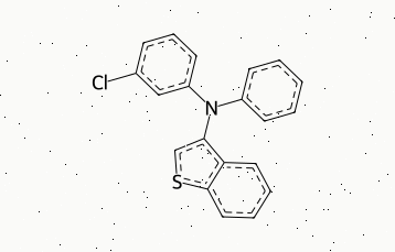 Clc1cccc(N(c2ccccc2)c2csc3ccccc23)c1